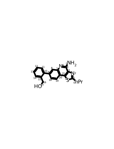 CCCc1nc2c(N)nc3cc(-c4ccccc4CO)ccc3c2s1